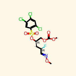 CON=C[C@H](F)[CH][C@H](COC(=O)OC)OS(=O)(=O)c1cc(Cl)c(Cl)cc1Cl